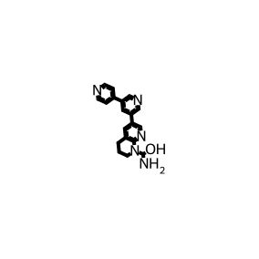 NC(O)N1CCCc2cc(-c3cncc(-c4ccncc4)c3)cnc21